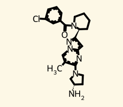 Cc1cn2nc([C@@H]3CCCCN3C(=O)c3cccc(Cl)c3)cc2nc1N1CC[C@H](N)C1